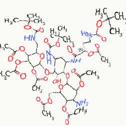 CC(=O)OCC1OC(OC2C(NC(=O)[C@H](CCNC(=O)OC(C)(C)C)OC(C)=O)CC(NC(=O)OC(C)(C)C)C(OC3OC(CNC(=O)OC(C)(C)C)C(OC(C)=O)C(OC(C)=O)C3OC(C)=O)C2O)C(OC(C)=O)C(N)C1OC(C)=O